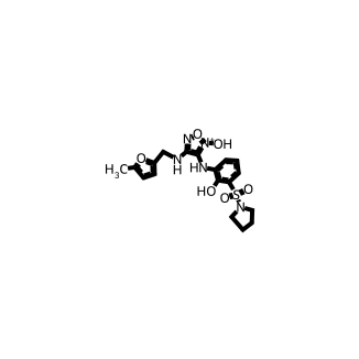 Cc1ccc(CNc2no[n+](O)c2Nc2cccc(S(=O)(=O)N3CCCC3)c2O)o1